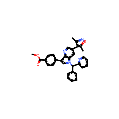 COC(=O)c1ccc(-c2cn(C(c3ccccc3)c3ccccn3)c3cc(-c4c(C)noc4C)cnc23)cc1